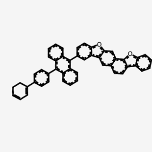 C1=CCCC(c2ccc(-c3c4ccccc4c(-c4ccc5oc6cc7c(ccc8c9ccccc9oc78)cc6c5c4)c4ccccc34)cc2)=C1